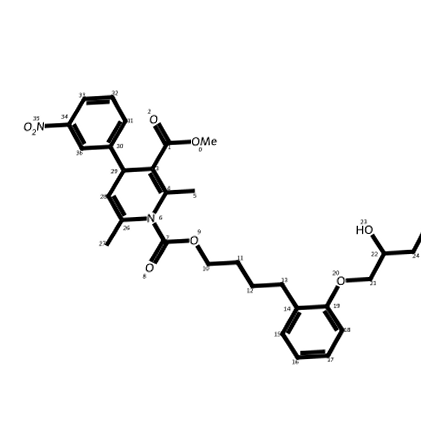 COC(=O)C1=C(C)N(C(=O)OCCCCc2ccccc2OCC(O)CO)C(C)=CC1c1cccc([N+](=O)[O-])c1